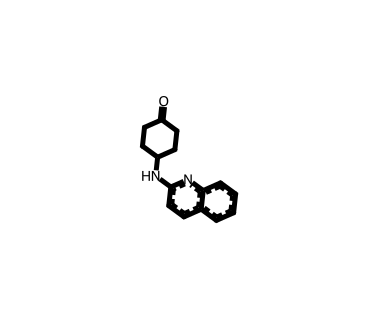 O=C1CCC(Nc2ccc3ccccc3n2)CC1